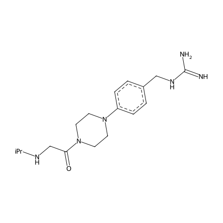 CC(C)NCC(=O)N1CCN(c2ccc(CNC(=N)N)cc2)CC1